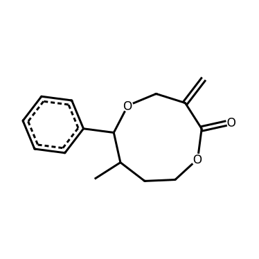 C=C1COC(c2ccccc2)C(C)CCOC1=O